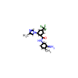 Cc1cn(-c2cc(C(=O)Nc3ccc(C)c(N)c3)cc(C(F)(F)F)c2)cn1